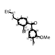 CCSCc1ccc(C(=O)c2ccc(F)c(OC)c2)c(Br)c1